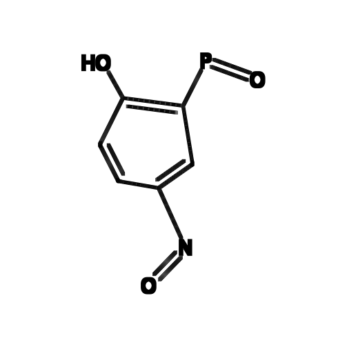 O=Nc1ccc(O)c(P=O)c1